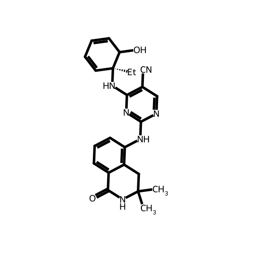 CC[C@]1(Nc2nc(Nc3cccc4c3CC(C)(C)NC4=O)ncc2C#N)C=CC=CC1O